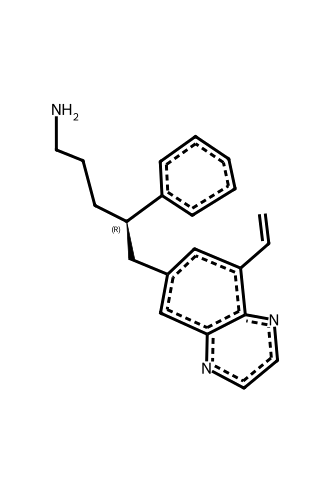 C=Cc1cc(C[C@@H](CCCN)c2ccccc2)cc2nccnc12